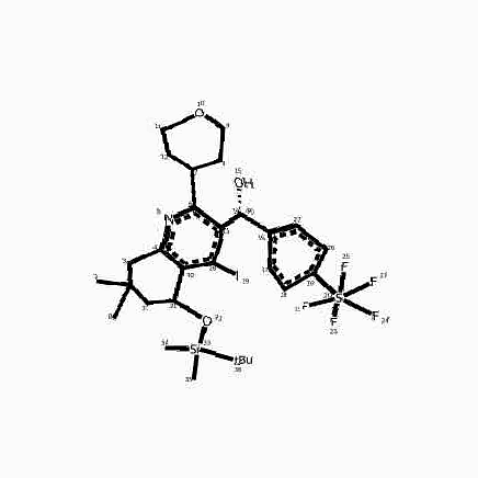 CC1(C)Cc2nc(C3CCOCC3)c([C@H](O)c3ccc(S(F)(F)(F)(F)F)cc3)c(I)c2C(O[Si](C)(C)C(C)(C)C)C1